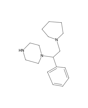 c1ccc(C(CN2CCCCC2)N2CCNCC2)cc1